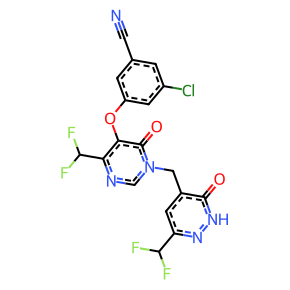 N#Cc1cc(Cl)cc(Oc2c(C(F)F)ncn(Cc3cc(C(F)F)n[nH]c3=O)c2=O)c1